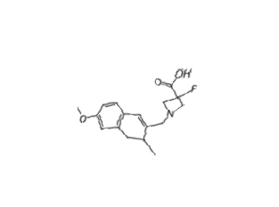 COc1ccc2c(c1)CC(C)C(CN1CC(F)(C(=O)O)C1)=C2